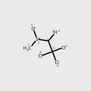 [2H]C([S+](C)[O-])C(Cl)(Cl)Cl